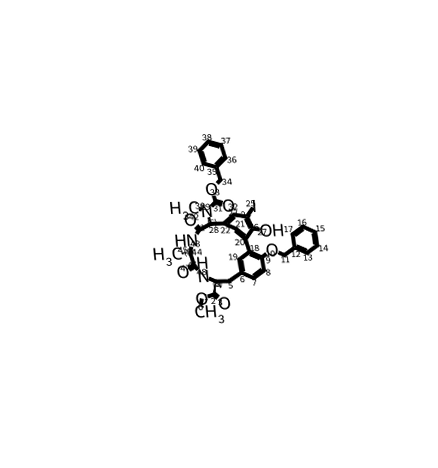 COC(=O)[C@@H]1Cc2ccc(OCc3ccccc3)c(c2)-c2cc(cc(I)c2O)[C@H](N(C)C(=O)OCc2ccccc2)C(=O)N[C@@H](C)C(=O)N1